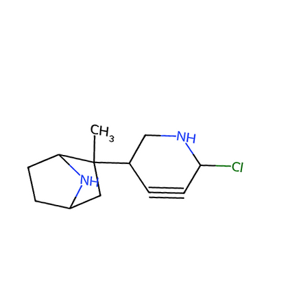 CC1(C2C#CC(Cl)NC2)CC2CCC1N2